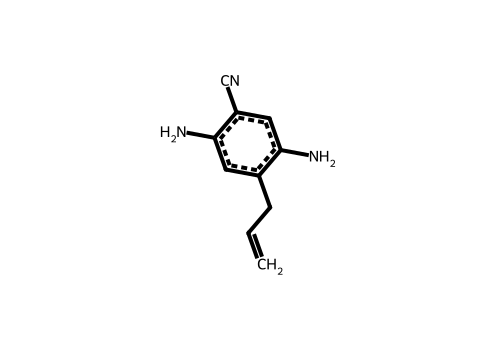 C=CCc1cc(N)c(C#N)cc1N